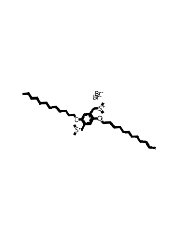 CCCCCCCCCCCCOc1cc(C[S+](C)C)c(OCCCCCCCCCCCC)cc1C[S+](C)C.[Br-].[Br-]